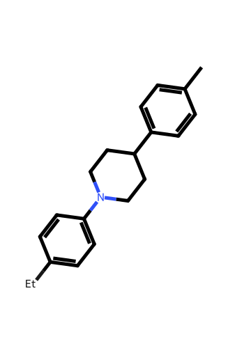 CCc1ccc(N2CCC(c3ccc(C)cc3)CC2)cc1